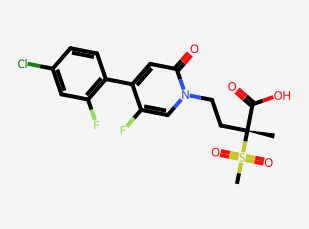 C[C@@](CCn1cc(F)c(-c2ccc(Cl)cc2F)cc1=O)(C(=O)O)S(C)(=O)=O